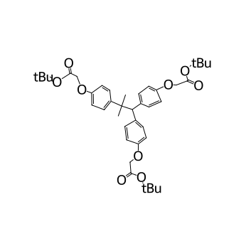 CC(C)(C)OC(=O)COc1ccc(C(c2ccc(OCC(=O)OC(C)(C)C)cc2)C(C)(C)c2ccc(OCC(=O)OC(C)(C)C)cc2)cc1